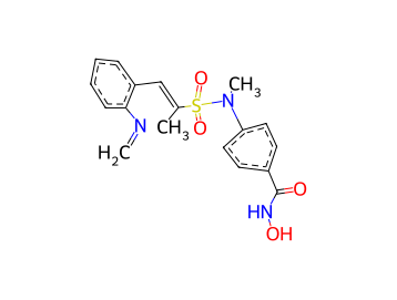 C=Nc1ccccc1/C=C(\C)S(=O)(=O)N(C)c1ccc(C(=O)NO)cc1